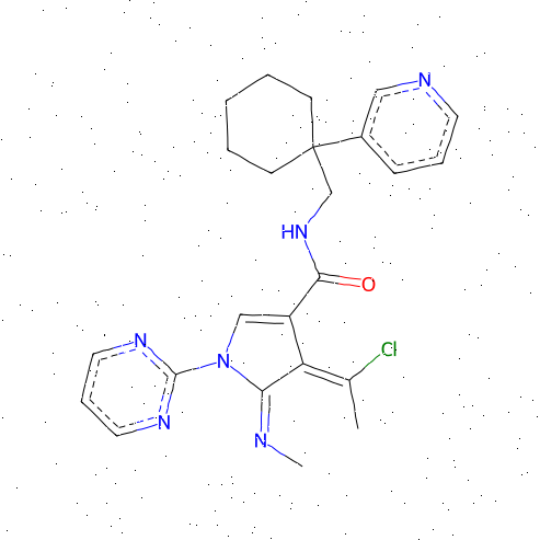 C/N=C1\C(=C(/C)Cl)C(C(=O)NCC2(c3cccnc3)CCCCC2)=CN1c1ncccn1